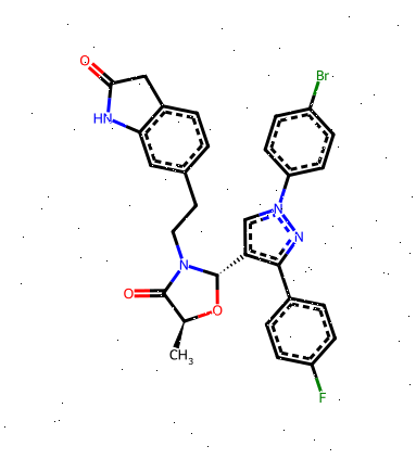 C[C@@H]1O[C@@H](c2cn(-c3ccc(Br)cc3)nc2-c2ccc(F)cc2)N(CCc2ccc3c(c2)NC(=O)C3)C1=O